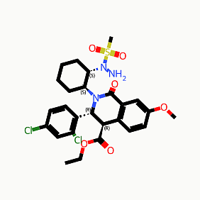 CCOC(=O)[C@@H]1c2ccc(OC)cc2C(=O)N([C@H]2CCCC[C@@H]2N(N)S(C)(=O)=O)[C@H]1c1ccc(Cl)cc1Cl